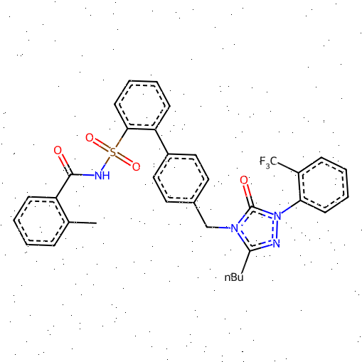 CCCCc1nn(-c2ccccc2C(F)(F)F)c(=O)n1Cc1ccc(-c2ccccc2S(=O)(=O)NC(=O)c2ccccc2C)cc1